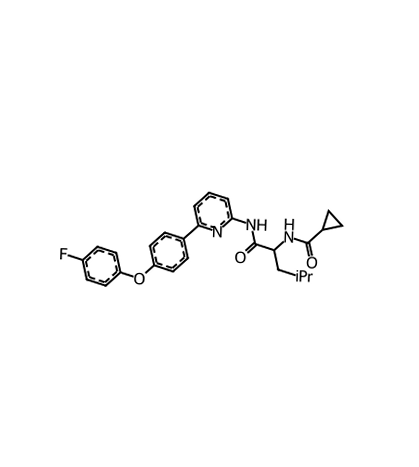 CC(C)CC(NC(=O)C1CC1)C(=O)Nc1cccc(-c2ccc(Oc3ccc(F)cc3)cc2)n1